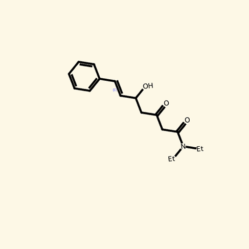 CCN(CC)C(=O)CC(=O)CC(O)/C=C/c1ccccc1